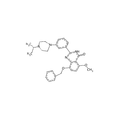 COc1ccc(OCc2ccccc2)c2nc(-c3cccc(N4CCN(C(C)C)CC4)c3)[nH]c(=O)c12